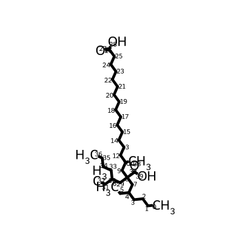 CCCCC(CC)CC(CC(C)CCCCCCCCCCCCCCC(=O)O)(CC(CC)CCCC)C(=O)O